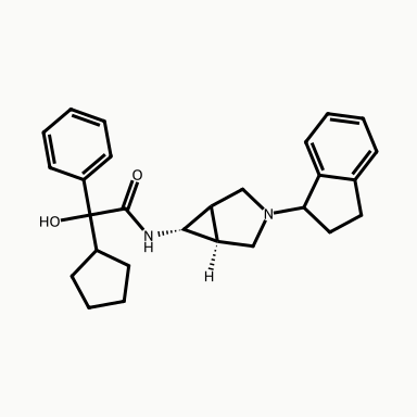 O=C(N[C@@H]1C2CN(C3CCc4ccccc43)C[C@H]21)C(O)(c1ccccc1)C1CCCC1